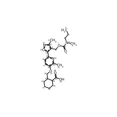 CCCN(C)C(=O)OCc1c(C)noc1-c1ccc(OCC2CCCCC2C(=O)O)c(C)n1